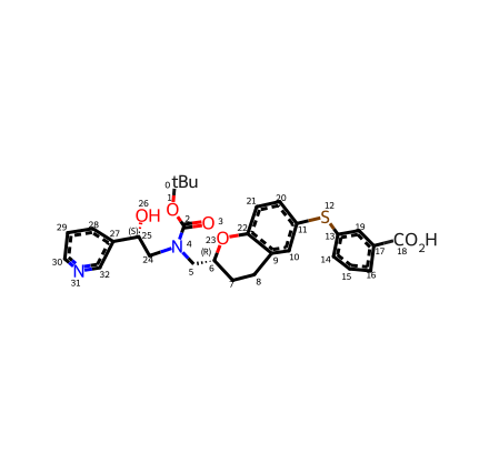 CC(C)(C)OC(=O)N(C[C@H]1CCc2cc(Sc3cccc(C(=O)O)c3)ccc2O1)C[C@@H](O)c1cccnc1